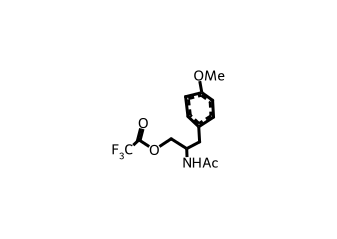 COc1ccc(CC(COC(=O)C(F)(F)F)NC(C)=O)cc1